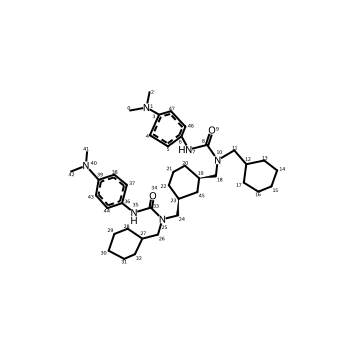 CN(C)c1ccc(NC(=O)N(CC2CCCCC2)C[C@@H]2CCC[C@H](CN(CC3CCCCC3)C(=O)Nc3ccc(N(C)C)cc3)C2)cc1